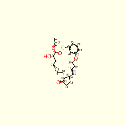 COC(=O)C(O)CC=C=CC[C@H]1C(=O)CC[C@@H]1/C=C/CCOc1cccc(Cl)c1